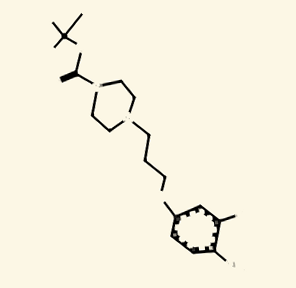 CC(C)(C)OC(=O)N1CCN(CCCOc2ccc(N)c(Cl)c2)CC1